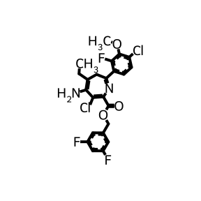 CCC1=C(N)C(Cl)=C(C(=O)OCc2cc(F)cc(F)c2)N=C(c2ccc(Cl)c(OC)c2F)C1